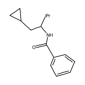 CC(C)C(CC1CC1)NC(=O)c1ccccc1